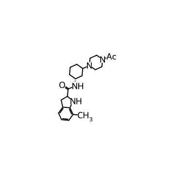 CC(=O)N1CCN(C2CCC[C@@H](NC(=O)C3Cc4cccc(C)c4N3)C2)CC1